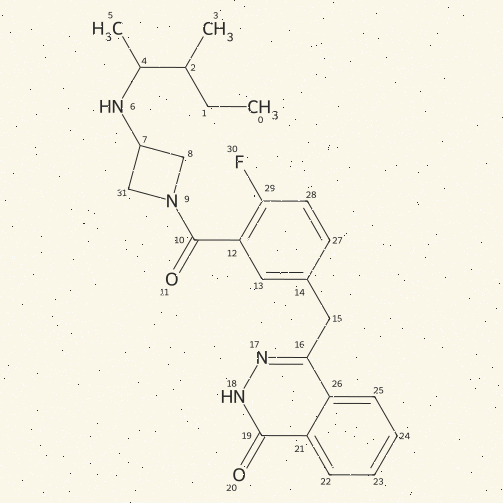 CCC(C)C(C)NC1CN(C(=O)c2cc(Cc3n[nH]c(=O)c4ccccc34)ccc2F)C1